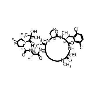 CC[C@H](NC(=O)[C@@H]1C[C@@H](F)CN1C(=O)[C@@](C)(O)C(F)(F)F)C(=O)N(C)[C@H]1CCCCN(C)C(=O)[C@@H](CC)NC(=O)[C@H](Cc2cc(Cl)ccc2Cl)N(C)C(=O)[C@H](CC(C)C)NC1=O